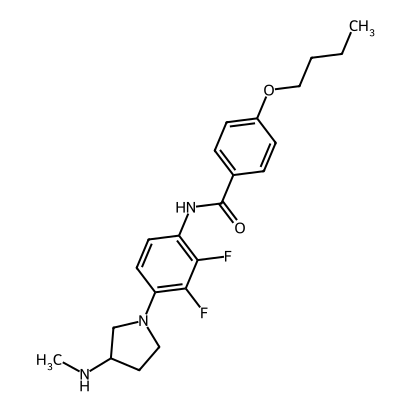 CCCCOc1ccc(C(=O)Nc2ccc(N3CCC(NC)C3)c(F)c2F)cc1